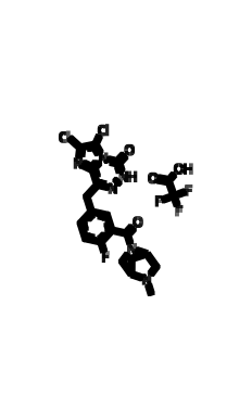 CN1CC2CC1CN2C(=O)c1cc(Cc2n[nH]c(=O)n3c(Cl)c(Cl)nc23)ccc1F.O=C(O)C(F)(F)F